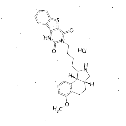 COc1cccc2c1CC[C@H]1CNC(CCCCn3c(=O)[nH]c4c(sc5ccccc54)c3=O)[C@@H]21.Cl